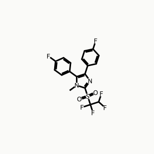 Cn1c(S(=O)(=O)C(F)(F)C(F)F)nc(-c2ccc(F)cc2)c1-c1ccc(F)cc1